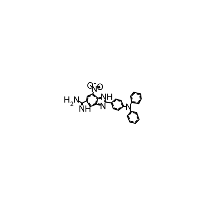 N=C(N)c1cc([N+](=O)[O-])c2[nH]c(-c3ccc(N(c4ccccc4)c4ccccc4)cc3)nc2c1